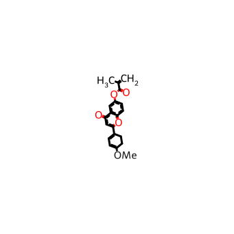 C=C(C)C(=O)Oc1ccc2oc(C3=CC=C(OC)CC3)cc(=O)c2c1